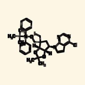 CC1(C)O[C@H]2[C@H](n3ccc4c(Cl)ncnc43)CC(CI)(CO[Si](c3ccccc3)(c3ccccc3)C(C)(C)C)[C@H]2O1